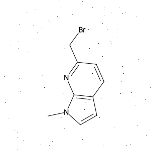 Cn1ccc2ccc(CBr)nc21